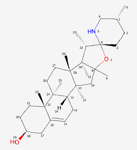 C[C@@H]1CC[C@@]2(NC1)OC1(C)C[C@@]3(C)[C@@H]4CC=C5C[C@@H](O)CC[C@]5(C)[C@@]4(C)CC[C@]3(C)[C@@]1(C)[C@@H]2C